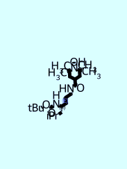 CC(C)C[C@@H](/C=C/CNC(=O)C1CC(C)(C)N(O)C(C)(C)C1)NC(=O)OC(C)(C)C